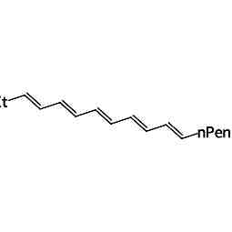 [CH2]CCCC/C=C/C=C/C=C/C=C/C=C/CC